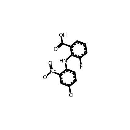 O=C(O)c1cccc(F)c1Nc1ccc(Cl)cc1[N+](=O)[O-]